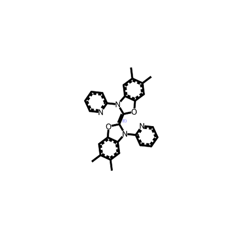 Cc1cc2c(cc1C)N(c1ccccn1)/C(=C1\Oc3cc(C)c(C)cc3N1c1ccccn1)O2